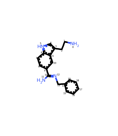 NCCc1c[nH]c2ccc(C(N)=NCc3ccccc3)cc12